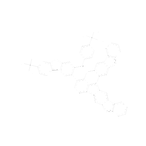 CC(C)(C)c1ccc(Nc2cc3sc4cc(C(C)(C)C)ccc4c3cc2-c2ccc3c4cc5oc6ccccc6c5cc4n4c3c2Bc2cc3c(cc2-4)sc2ccccc23)cc1